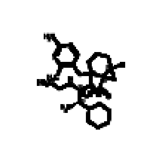 Cc1nc(N)ccc1C[N+]1(C(=O)[C@H](NCC(=O)O)[C@H](C2CCCCC2)C(F)(F)F)CCC[C@@H]2C[C@@]21C(N)=O